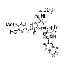 COc1ccc(CNC(=O)c2cc(NC(=O)C(CC(C)C)NC(=O)c3ccc4ccccc4n3)cc(C(=O)NCC(=O)O)c2)cc1O